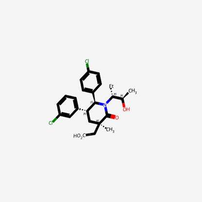 CC[C@H]([C@@H](C)O)N1C(=O)[C@@](C)(CC(=O)O)C[C@H](c2cccc(Cl)c2)[C@H]1c1ccc(Cl)cc1